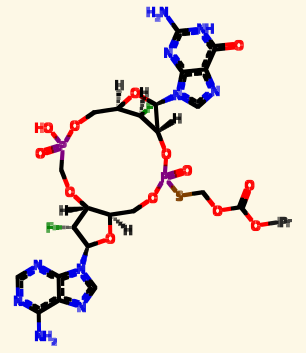 CC(C)OC(=O)OCSP1(=O)OC[C@H]2O[C@@H](n3cnc4c(N)ncnc43)[C@H](F)[C@@H]2OCP(=O)(O)OC[C@H]2O[C@@H](n3cnc4c(=O)[nH]c(N)nc43)[C@H](O1)[C@@H]2F